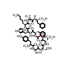 CC(C)[C@H](NC(=O)[C@@H](N)Cc1ccc(O)cc1)C(=O)N[C@@H](CO)C(=O)N[C@@H](CC(=O)O)C(=O)N[C@@H](C)C(=O)N[C@@H](Cc1ccccc1)C(=O)N[C@@H](Cc1c[nH]cn1)C(=O)N[C@@H](CCCCN)C(=O)N[C@@H](C)C(=O)N[C@@H](Cc1ccccc1)C(=O)O